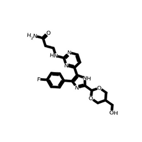 NC(=O)CCNc1nccc(-c2[nH]c(C3OCC(CO)CO3)nc2-c2ccc(F)cc2)n1